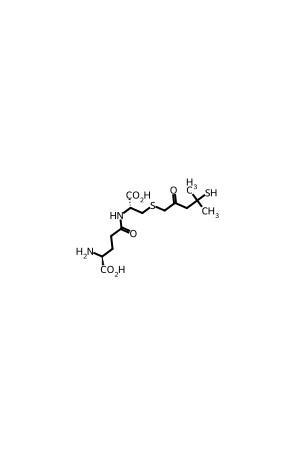 CC(C)(S)CC(=O)CSC[C@H](NC(=O)CC[C@H](N)C(=O)O)C(=O)O